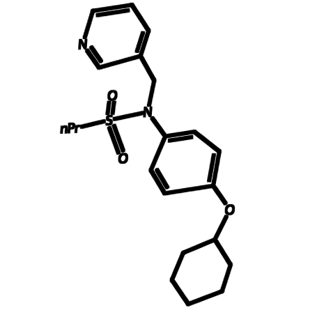 CCCS(=O)(=O)N(Cc1cccnc1)c1ccc(OC2CCCCC2)cc1